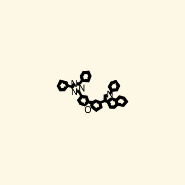 c1ccc(-c2nc(-c3ccccc3)nc(-c3ccc4oc5ccc(-c6cn(-c7ccccc7)c7c6ccc6ccccc67)cc5c4c3)n2)cc1